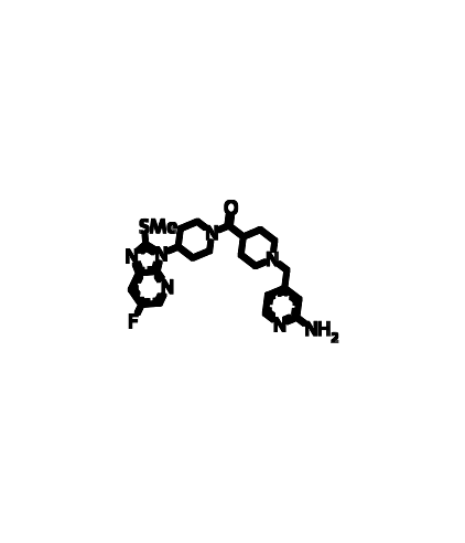 CSc1nc2cc(F)cnc2n1C1CCN(C(=O)C2CCN(Cc3ccnc(N)c3)CC2)CC1